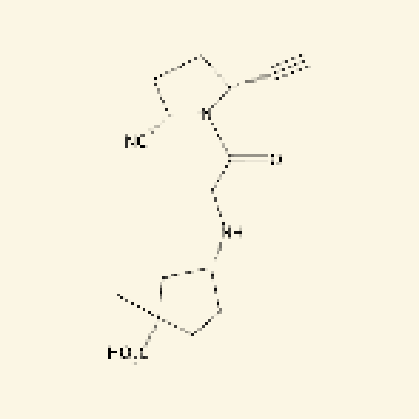 C#C[C@H]1CC[C@@H](C#N)N1C(=O)CN[C@@H]1CC[C@](C)(C(=O)O)C1